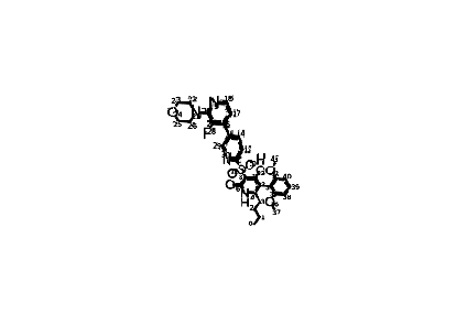 CCCCc1[nH]c(=O)c(S(=O)(=O)c2ccc(-c3ccnc(N4CCOCC4)c3F)cn2)c(O)c1-c1c(OC)cccc1OC